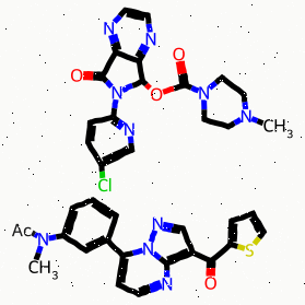 CC(=O)N(C)c1cccc(-c2ccnc3c(C(=O)c4cccs4)cnn23)c1.CN1CCN(C(=O)OC2c3nccnc3C(=O)N2c2ccc(Cl)cn2)CC1